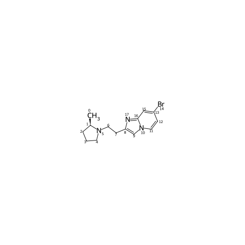 C[C@@H]1CCCN1CCc1cn2ccc(Br)cc2n1